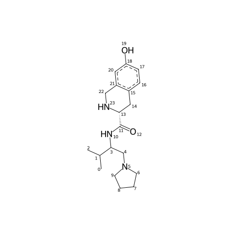 CC(C)C(CN1CCCC1)NC(=O)[C@H]1Cc2ccc(O)cc2CN1